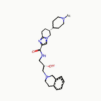 CC(=O)N1CCC([C@H]2CCc3nc(C(=O)NC[C@H](O)CN4CCc5ccccc5C4)cn3C2)CC1